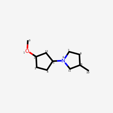 COC1CCC(N2CCC(C)C2)C1